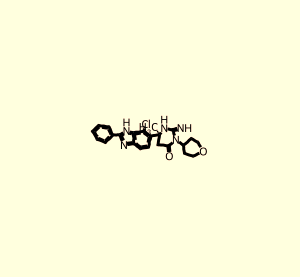 C[C@@]1(c2ccc3nc(-c4ccccc4)[nH]c3c2Cl)CC(=O)N(C2CCOCC2)C(=N)N1